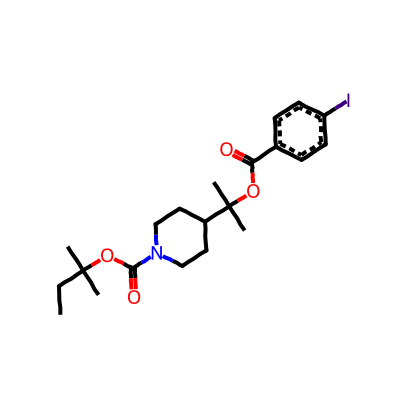 CCC(C)(C)OC(=O)N1CCC(C(C)(C)OC(=O)c2ccc(I)cc2)CC1